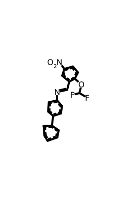 O=[N+]([O-])c1ccc(OC(F)F)c(C=Nc2ccc(-c3ccccc3)cc2)c1